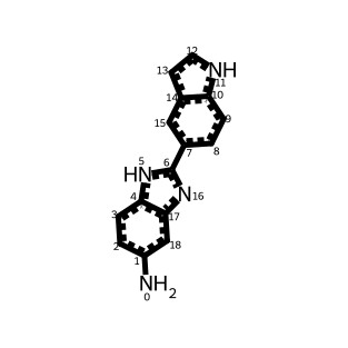 Nc1ccc2[nH]c(-c3ccc4[nH]ccc4c3)nc2c1